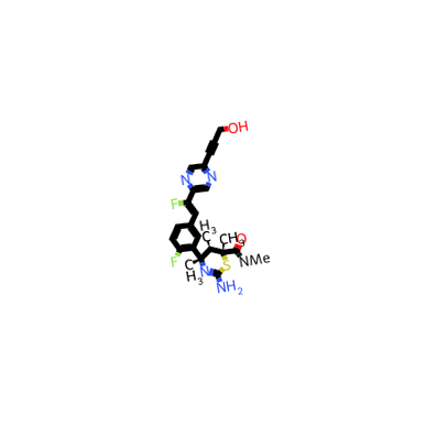 CNC(=O)[C@@]1(C)SC(N)=N[C@](C)(c2cc(/C=C(\F)c3cnc(C#CCO)cn3)ccc2F)[C@@H]1C